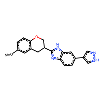 COc1ccc2c(c1)CC(c1nc3ccc(-c4cn[nH]c4)cc3[nH]1)CO2